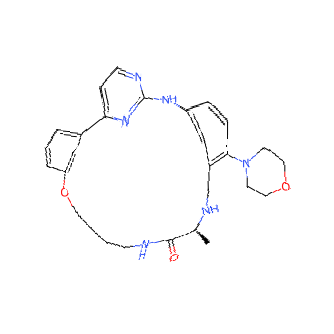 C[C@@H]1NCc2cc(ccc2N2CCOCC2)Nc2nccc(n2)-c2cccc(c2)OCCCNC1=O